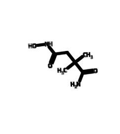 CC(C)(CC(=O)NO)C(N)=O